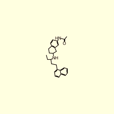 CCC(CCc1cccc2ccccc12)NC1CCc2ccc(NC(C)=O)cc2C1